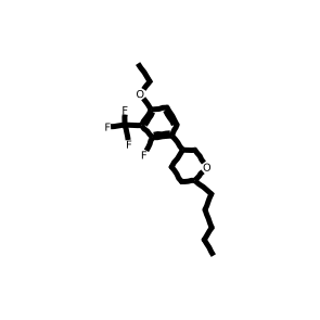 CCCCCC1CCC(c2ccc(OCC)c(C(F)(F)F)c2F)CO1